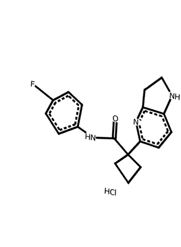 Cl.O=C(Nc1ccc(F)cc1)C1(c2ccc3c(n2)CCN3)CCC1